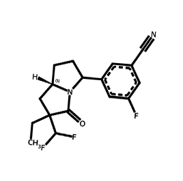 CCC1(C(F)F)C[C@@H]2CCC(c3cc(F)cc(C#N)c3)N2C1=O